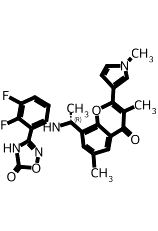 Cc1cc([C@@H](C)Nc2ccc(F)c(F)c2-c2noc(=O)[nH]2)c2oc(-c3ccn(C)c3)c(C)c(=O)c2c1